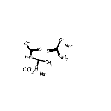 CC(NC([O-])=S)C(=O)O.NC([O-])=S.[Na+].[Na+]